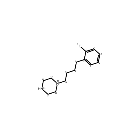 Fc1ccccc1CCCCN1CCNCC1